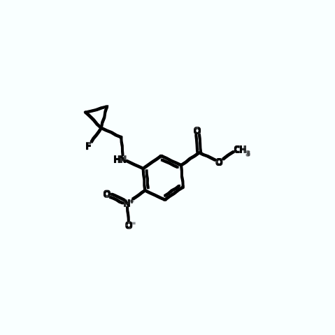 COC(=O)c1ccc([N+](=O)[O-])c(NCC2(F)CC2)c1